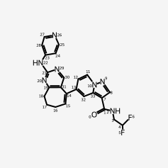 O=C(NCC(F)F)c1cnn2ccc(C3=CCCCc4nc(Nc5ccncc5)ncc43)cc12